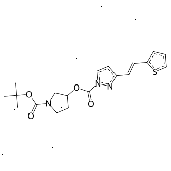 CC(C)(C)OC(=O)N1CCC(OC(=O)n2ccc(/C=C/c3cccs3)n2)C1